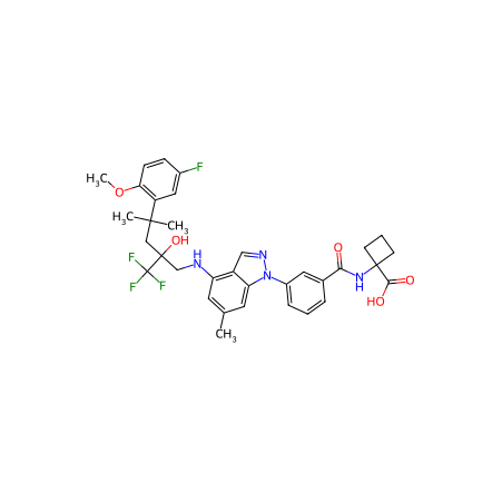 COc1ccc(F)cc1C(C)(C)CC(O)(CNc1cc(C)cc2c1cnn2-c1cccc(C(=O)NC2(C(=O)O)CCC2)c1)C(F)(F)F